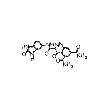 CC(=O)C(/N=N\c1cc(C(N)=O)cc(C(N)=O)c1)C(=O)Nc1ccc2[nH]c(=O)[nH]c2c1